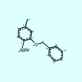 CNc1ccc(C)cc1OCc1ccccc1